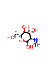 [2H]N[C@H]1C(O)O[C@H](CO)[C@@H](O)[C@@H]1O